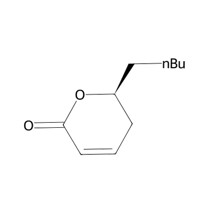 CCCCC[C@H]1CC=CC(=O)O1